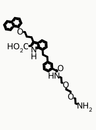 NCCOCCOCCNC(=O)c1cccc(CCc2cccc3c(CCCOc4cccc5ccccc45)c(C(=O)O)[nH]c23)c1